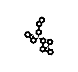 c1ccc(-n2c3ccccc3c3cccc(-c4cccc(N(c5ccc(-c6ccc7ccccc7c6)cc5)c5cccc6c5sc5ccccc56)c4)c32)cc1